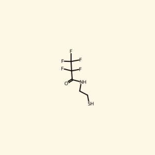 O=C(NCCS)C(F)(F)C(F)(F)F